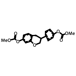 COC(=O)Oc1ccc(C2[CH]c3ccc(OC(=O)OC)cc3OC2)cc1